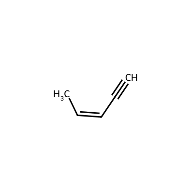 C#C/C=C\C